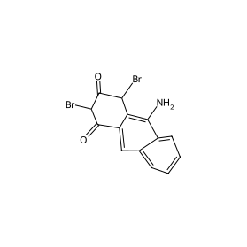 Nc1c2c(cc3ccccc13)C(=O)C(Br)C(=O)C2Br